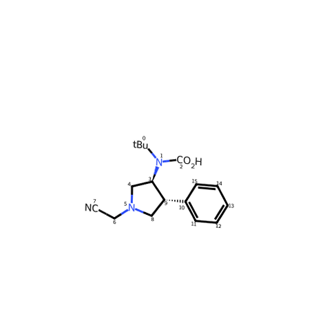 CC(C)(C)N(C(=O)O)[C@@H]1CN(CC#N)C[C@H]1c1ccccc1